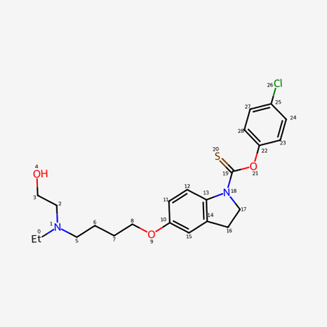 CCN(CCO)CCCCOc1ccc2c(c1)CCN2C(=S)Oc1ccc(Cl)cc1